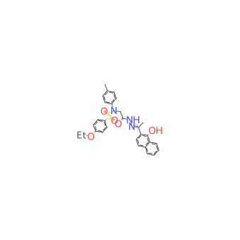 CCOc1ccc(S(=O)(=O)N(CC(=O)N/N=C(\C)c2ccc3ccccc3c2O)c2ccc(C)cc2)cc1